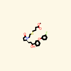 COC(=O)CCCSCCN1C(=O)CC[C@@H]1CCC(O)c1cccc(Oc2cccc(F)c2)c1